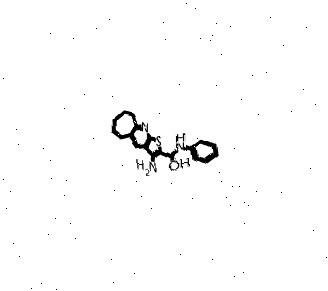 Nc1c(C(O)Nc2ccccc2)sc2nc3c(cc12)CCCCC3